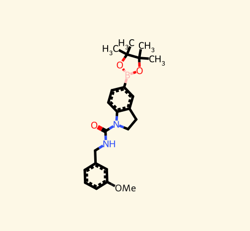 COc1cccc(CNC(=O)N2CCc3cc(B4OC(C)(C)C(C)(C)O4)ccc32)c1